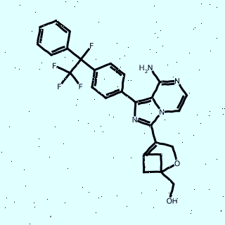 Nc1nccn2c(C3=C4CC(CO)(C4)OC3)nc(-c3ccc(C(F)(c4ccccc4)C(F)(F)F)cc3)c12